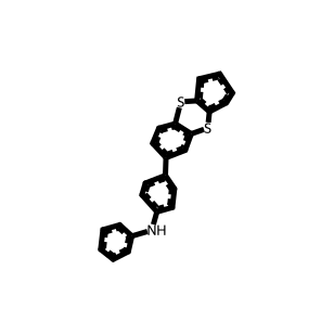 c1ccc(Nc2ccc(-c3ccc4c(c3)Sc3ccccc3S4)cc2)cc1